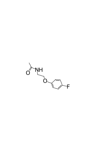 CC(=O)NCCOc1ccc(F)cc1